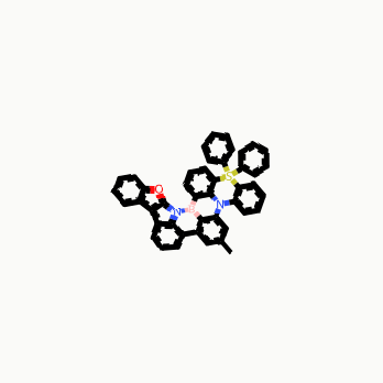 Cc1cc2c3c(c1)N1c4ccccc4S(c4ccccc4)(c4ccccc4)c4cccc(c41)B3n1c3oc4ccccc4c3c3cccc-2c31